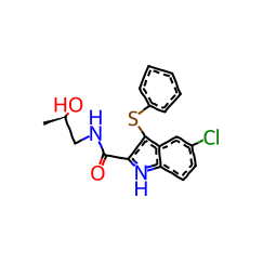 C[C@@H](O)CNC(=O)c1[nH]c2ccc(Cl)cc2c1Sc1ccccc1